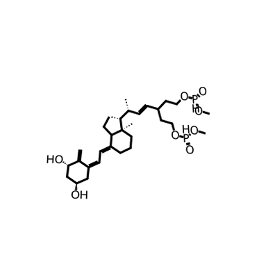 C=C1/C(=C\C=C2/CCC[C@@]3(C)C2CC[C@@H]3[C@H](C)/C=C/C(CCO[PH](=O)OC)CCO[PH](=O)OC)C[C@@H](O)C[C@@H]1O